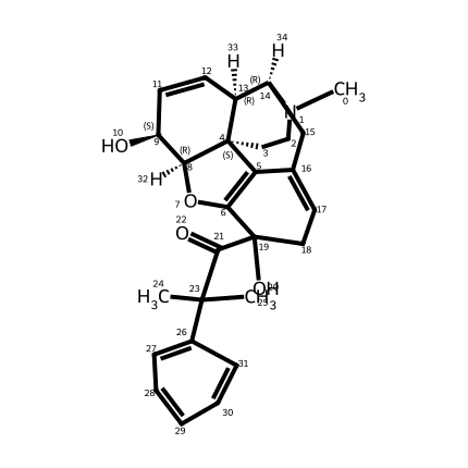 CN1CC[C@]23C4=C5O[C@H]2[C@@H](O)C=C[C@H]3[C@H]1CC4=CCC5(O)C(=O)C(C)(C)c1ccccc1